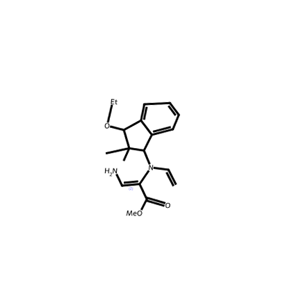 C=CN(/C(=C\N)C(=O)OC)C1c2ccccc2C(OCC)C1(C)C